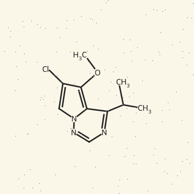 COc1c(Cl)cn2ncnc(C(C)C)c12